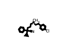 CN(CCCC(C#N)(c1ccccc1)C1CC1)CCc1ccc(Cl)cc1